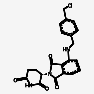 O=C1CC[C@H](N2C(=O)c3cccc(NCc4ccc(CCl)cc4)c3C2=O)C(=O)N1